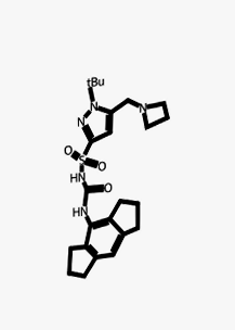 CC(C)(C)n1nc(S(=O)(=O)NC(=O)Nc2c3c(cc4c2CCC4)CCC3)cc1CN1CCC1